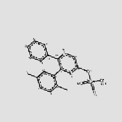 Cc1ccc(C)c(-c2nc(OS(=O)(=O)C(F)(F)F)cnc2-c2ccccc2)c1